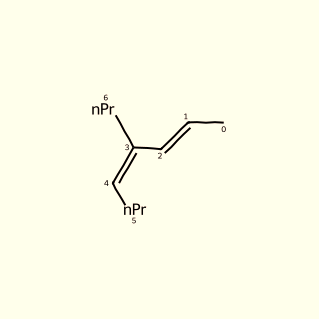 CC=CC(=CCCC)CCC